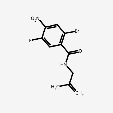 C=C(C)CNC(=O)c1cc(F)c([N+](=O)[O-])cc1Br